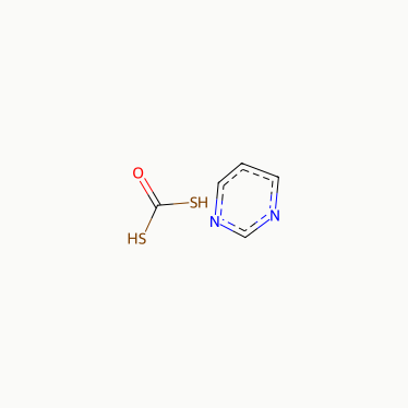 O=C(S)S.c1cncnc1